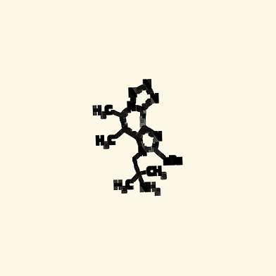 CCCCc1nc2c(c(C)c(C)n3nnnc23)n1CC(C)(C)N